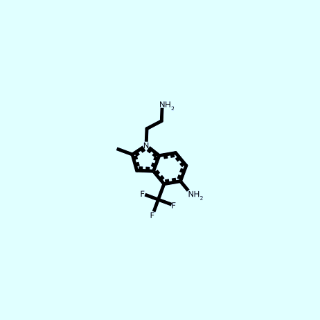 Cc1cc2c(C(F)(F)F)c(N)ccc2n1CCN